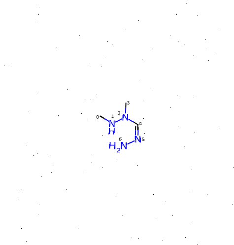 CNN(C)/C=N\N